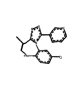 CC1CNc2ccc(Cl)cc2-n2c(-c3cccnc3)nnc21